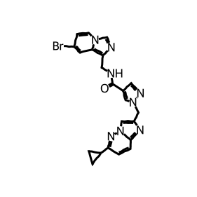 O=C(NCc1ncn2ccc(Br)cc12)c1cnn(Cc2cn3nc(C4CC4)ccc3n2)c1